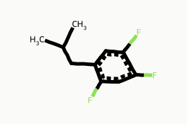 CC(C)Cc1cc(F)c(F)cc1F